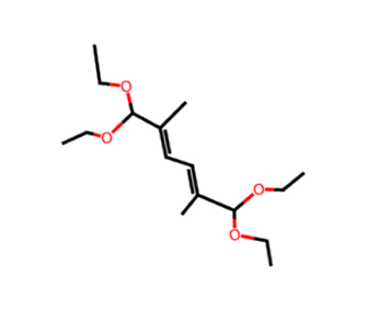 CCOC(OCC)/C(C)=C/C=C(\C)C(OCC)OCC